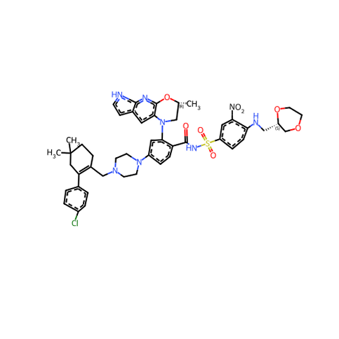 C[C@@H]1CN(c2cc(N3CCN(CC4=C(c5ccc(Cl)cc5)CC(C)(C)CC4)CC3)ccc2C(=O)NS(=O)(=O)c2ccc(NC[C@H]3COCCO3)c([N+](=O)[O-])c2)c2cc3cc[nH]c3nc2O1